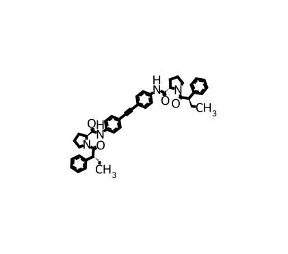 CC[C@@H](C(=O)N1CCC[C@H]1C(=O)Nc1ccc(C#Cc2ccc(NC(=O)[C@@H]3CCCN3C(=O)[C@H](CC)c3ccccc3)cc2)cc1)c1ccccc1